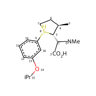 CNC(C(=O)O)[C@H]1[C@H](C)CC[SH]1c1cccc(OC(C)C)c1